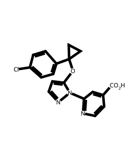 O=C(O)c1ccnc(-n2nccc2OC2(c3ccc(Cl)cc3)CC2)c1